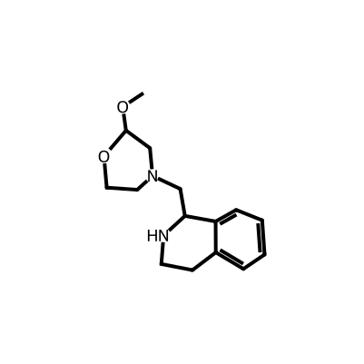 COC1CN(CC2NCCc3ccccc32)CCO1